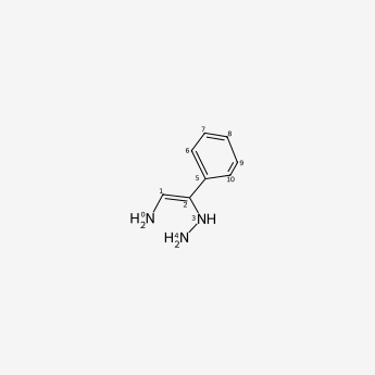 N/C=C(\NN)c1ccccc1